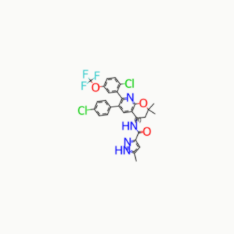 Cc1cc(C(=O)N[C@@H]2CC(C)(C)Oc3nc(-c4cc(OC(F)(F)F)ccc4Cl)c(-c4ccc(Cl)cc4)cc32)n[nH]1